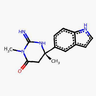 CN1C(=N)N[C@](C)(c2ccc3[nH]ccc3c2)CC1=O